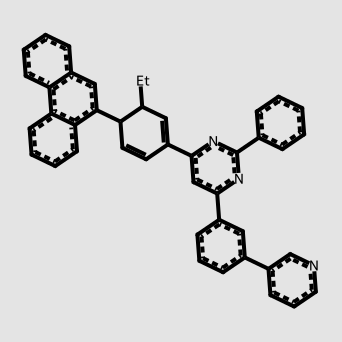 CCC1C=C(c2cc(-c3cccc(-c4cccnc4)c3)nc(-c3ccccc3)n2)C=CC1c1cc2ccccc2c2ccccc12